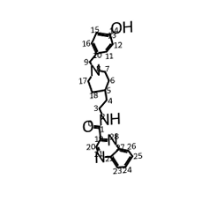 O=C(NCCC1CCN(Cc2ccc(O)cc2)CC1)c1cnc2ccccc2n1